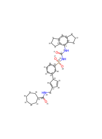 O=C(Nc1c2c(cc3c1CCC3)CCC2)NS(=O)(=O)c1cccc(C2C=CC(CNC(=O)C3CCCCCC3)=C2)c1